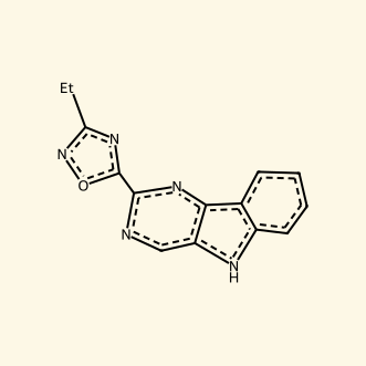 CCc1noc(-c2ncc3[nH]c4ccccc4c3n2)n1